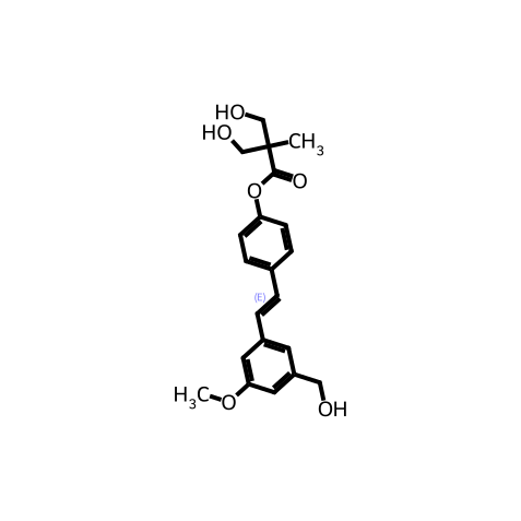 COc1cc(/C=C/c2ccc(OC(=O)C(C)(CO)CO)cc2)cc(CO)c1